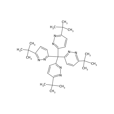 CC(C)(C)c1ccc(C(c2ccc(C(C)(C)C)nn2)(c2ccc(C(C)(C)C)nn2)c2ccc(C(C)(C)C)nn2)nn1